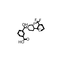 O=C(O)c1cccc(C(O)N2CCC(c3ccccc3C(F)(F)F)CC2)c1